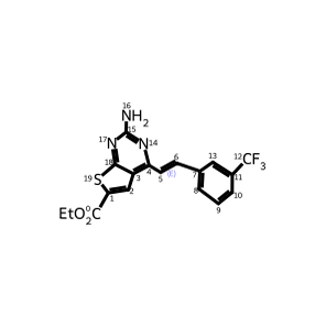 CCOC(=O)c1cc2c(/C=C/c3cccc(C(F)(F)F)c3)nc(N)nc2s1